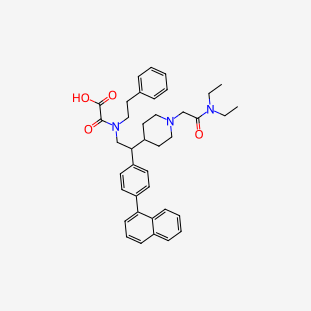 CCN(CC)C(=O)CN1CCC(C(CN(CCc2ccccc2)C(=O)C(=O)O)c2ccc(-c3cccc4ccccc34)cc2)CC1